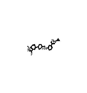 Cn1nc(F)c2cc(C3CCC(CNc4cccc(-c5cnn(C6CC6)c5)c4)CC3)ccc21